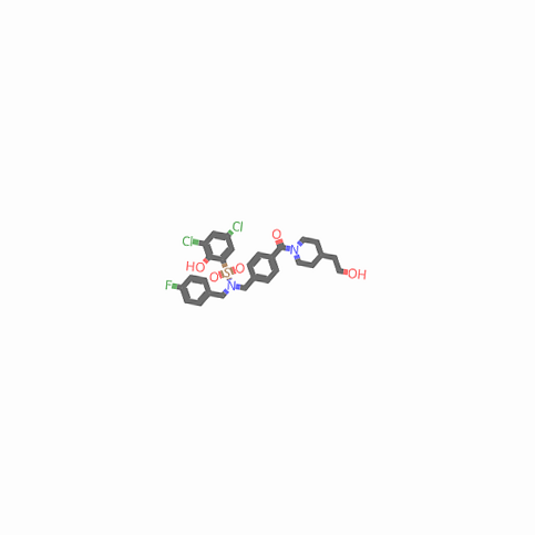 O=C(c1ccc(CN(Cc2ccc(F)cc2)S(=O)(=O)c2cc(Cl)cc(Cl)c2O)cc1)N1CCC(CCO)CC1